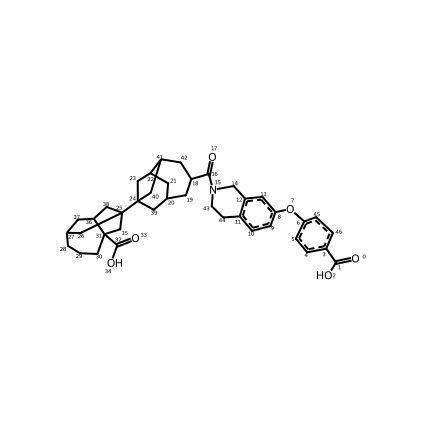 O=C(O)c1ccc(Oc2ccc3c(c2)CN(C(=O)C2CC4CC5CC(C67CC8CCCC(C(=O)O)(C6)C(C8)C7)(C4)CC5C2)CC3)cc1